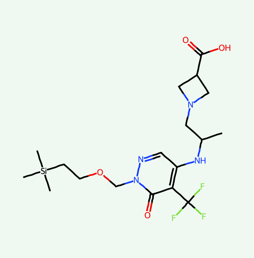 CC(CN1CC(C(=O)O)C1)Nc1cnn(COCC[Si](C)(C)C)c(=O)c1C(F)(F)F